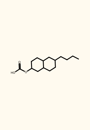 CCCCC1CCC2CC(OC(=O)O)CCC2C1